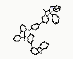 C=C/C=C\C1=C(C)c2cc(-c3ccc(N(c4ccc(-c5cccc6oc7ccccc7c56)cc4)c4cccc5c4C(C)(C)c4ccccc4-5)cc3)ccc2C1(c1ccccc1)c1ccccc1